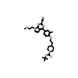 COCCn1ccc2c(-c3ccc(OCCC4CCN(C(=O)OC(C)(C)C)CC4)c(C)c3)nc(C#N)nc21